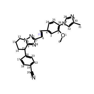 COc1cc(/C=C/c2nc3n(n2)CCCC3c2ccc(C#N)cc2)ccc1-n1cnc(C)c1